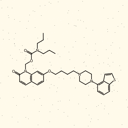 CCCN(CCC)C(=O)OCn1c(=O)ccc2ccc(OCCCCN3CCN(c4cccc5sccc45)CC3)cc21